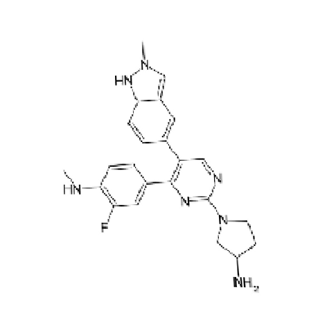 CNc1ccc(-c2nc(N3CCC(N)C3)ncc2C2=CC3=CN(C)NC3C=C2)cc1F